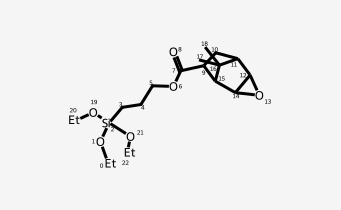 CCO[Si](CCCOC(=O)C1CC2C3OC3C1C2(C)C)(OCC)OCC